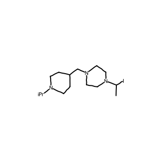 CC(C)N1CCC(CN2CCN(C(C)I)CC2)CC1